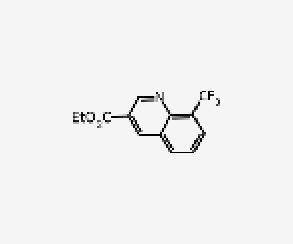 CCOC(=O)c1cnc2c(C(F)(F)F)cccc2c1